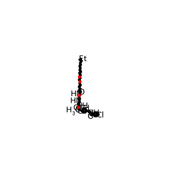 CCC=CCC=CCC=CCC=CCC=CCC=CCCC(=O)NCCCNCCNC(=O)C(C)(C)Oc1ccc(CCNC(=O)c2ccc(Cl)cc2)cc1